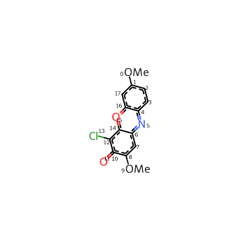 COc1ccc2nc3cc(OC)c(=O)c(Cl)c-3oc2c1